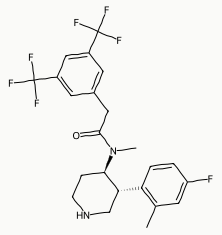 Cc1cc(F)ccc1[C@@H]1CNCC[C@H]1N(C)C(=O)Cc1cc(C(F)(F)F)cc(C(F)(F)F)c1